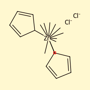 [CH3][Zr]([CH3])([CH3])([CH3])([CH3])([CH3])([CH3])([CH3])([CH3])([CH3])([CH]1C=CC=C1)[CH]1C=CC=C1.[Cl-].[Cl-]